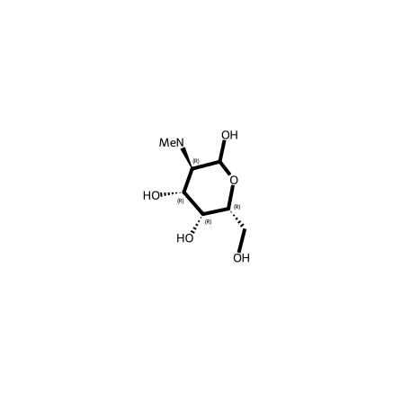 CN[C@H]1C(O)O[C@H](CO)[C@H](O)[C@@H]1O